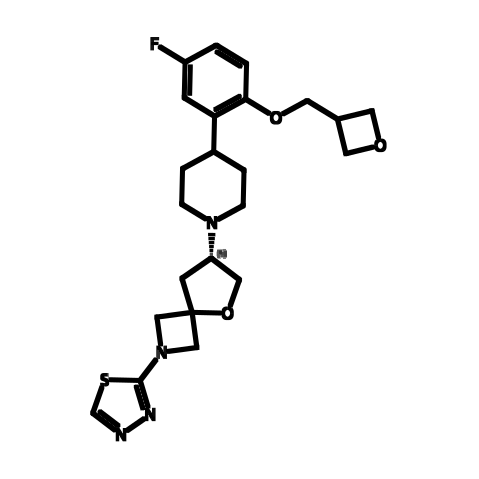 Fc1ccc(OCC2COC2)c(C2CCN([C@@H]3COC4(C3)CN(c3nncs3)C4)CC2)c1